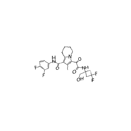 Cc1c(C(=O)Nc2ccc(F)c(F)c2)c2n(c1C(=O)C(=O)NC1(CO)CC(F)(F)C1)CCCC2